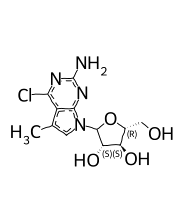 Cc1cn(C2O[C@H](CO)[C@@H](O)[C@@H]2O)c2nc(N)nc(Cl)c12